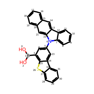 OB(O)c1cc(-n2c3ccccc3c3cc4ccccc4cc32)cc2c1sc1ccccc12